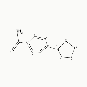 NC(=S)c1ccc(N2CCCC2)cc1